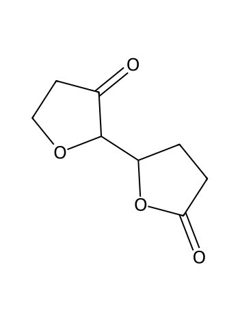 O=C1CCC(C2OCCC2=O)O1